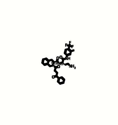 Cc1cc(NC(=O)[C@H](CCN)NC(=O)[C@@H]2Cc3ccccc3CN2C(=O)CCC(=O)c2ccccc2)ccc1C(F)(F)F